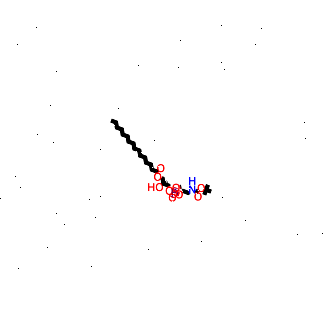 CCCCCCCCCCCCCCCC(=O)OC[C@@H](O)COP(=O)(OC)OCCNC(=O)OC(C)(C)C